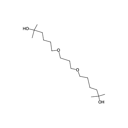 CC(C)(O)CCCCOCCCOCCCCC(C)(C)O